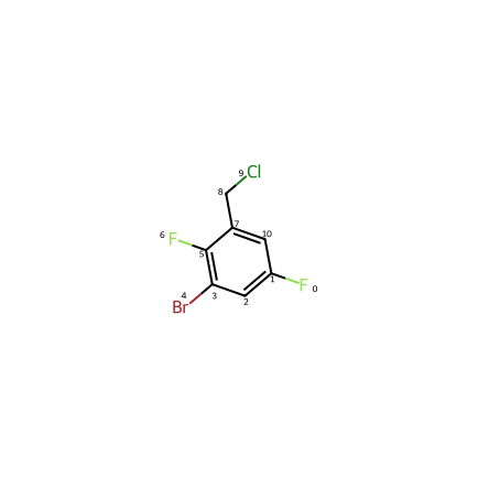 Fc1cc(Br)c(F)c(CCl)c1